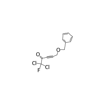 O=C(C#CCOCc1ccccc1)C(F)(Cl)Cl